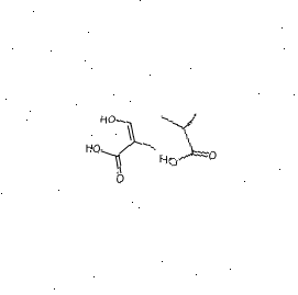 CC(=CO)C(=O)O.CC(C)C(=O)O